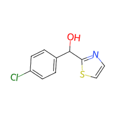 OC(c1ccc(Cl)cc1)c1nccs1